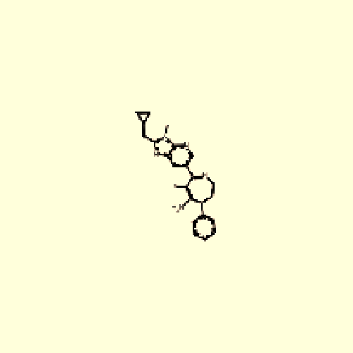 CC1=C(N)C(c2ccccc2)CCN=C1c1cnc2c(c1)nc(CC1CC1)n2C